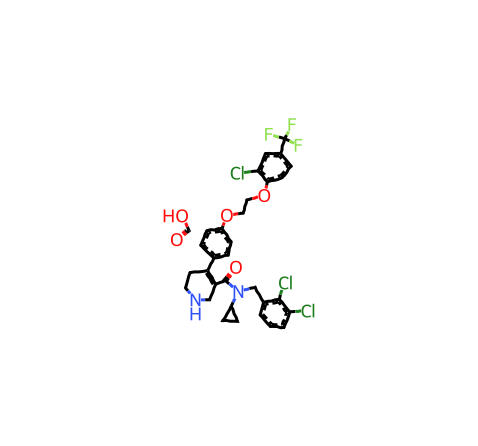 O=C(C1=C(c2ccc(OCCOc3ccc(C(F)(F)F)cc3Cl)cc2)CCNC1)N(Cc1cccc(Cl)c1Cl)C1CC1.O=CO